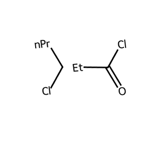 CCC(=O)Cl.CCCCCl